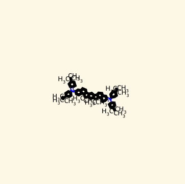 CC(C)(C)c1ccc(N(c2ccc(C(C)(C)C)cc2)c2ccc3c4c(ccc3c2)-c2cc3c(cc2C4(C)C)C(C)(C)c2c-3ccc3cc(N(c4ccc(C(C)(C)C)cc4)c4ccc(C(C)(C)C)cc4)ccc23)cc1